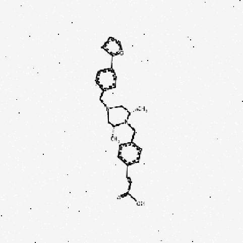 C[C@@H]1CN(Cc2ccc(-c3ccco3)cc2)C[C@H](C)N1Cc1ccc(/C=C/C(=O)O)cc1